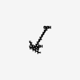 CCCCC(CC)CC(C)(CC(CC)CCCC)C(CCCCCCCCCCCCCCC(=O)O)C(=O)O